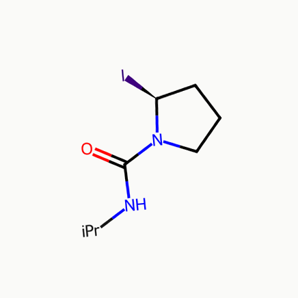 CC(C)NC(=O)N1CCC[C@@H]1I